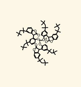 CC(C)(C)CC(C)(C)c1ccc2c(c1)C(c1cc(C(C)(C)CC(C)(C)C)ccc1OP(Oc1ccc(C(C)(C)CC(C)(C)C)cc1C1C(=O)Oc3ccc(C(C)(C)CC(C)(C)C)cc31)Oc1ccc(C(C)(C)CC(C)(C)C)cc1C1c3cc(C(C)(C)CC(C)(C)C)ccc3OC1O)C(=O)O2